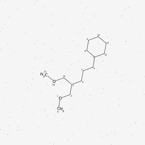 COCC(CCCC1CCCCC1)COC